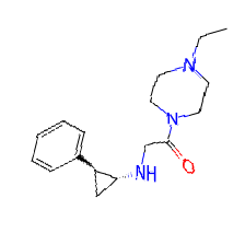 CCN1CCN(C(=O)CN[C@@H]2C[C@H]2c2ccccc2)CC1